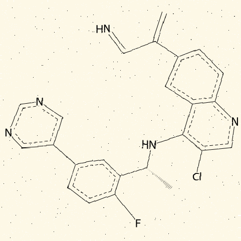 C=C(C=N)c1ccc2ncc(Cl)c(N[C@H](C)c3cc(-c4cncnc4)ccc3F)c2c1